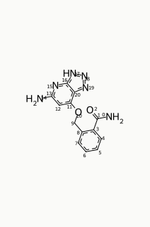 NC(=O)c1ccccc1COc1cc(N)nc2[nH]nnc12